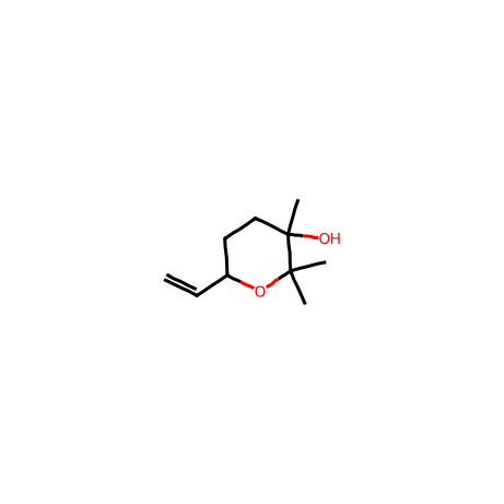 C=CC1CCC(C)(O)C(C)(C)O1